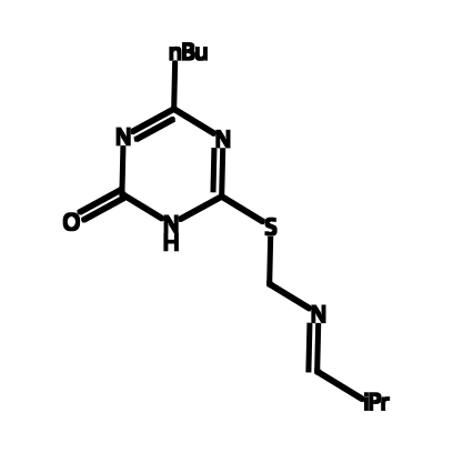 CCCCc1nc(SCN=CC(C)C)[nH]c(=O)n1